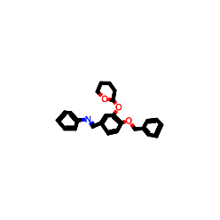 C(=Nc1ccccc1)c1ccc(OCc2ccccc2)c(OC2CCCCO2)c1